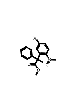 COC(=O)C(C)(c1ccccc1)c1cc(Br)ccc1[N+](C)=O